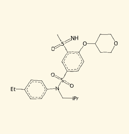 CCc1ccc(N(CC(C)C)S(=O)(=O)c2ccc(OC3CCOCC3)c(S(C)(=N)=O)c2)cc1